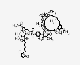 COc1cc2cc(c1Cl)N(C)CC[C@H](OC(=O)[C@H](C)N(C)C(=O)c1ccc(NC(=O)[C@H](CCCNC(N)=O)NC(=O)[C@@H](NC(=O)CCCCCN3C(=O)C=CC3=O)C(C)C)cc1)[C@]1(C)O[C@H]1[C@H](C)[C@@H]1C[C@@](O)(NC(=O)O1)[C@H](OC)/C=C/C=C(\C)C2